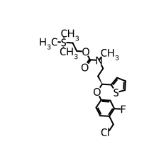 CN(CC[C@H](Oc1ccc(CCl)c(F)c1)c1cccs1)C(=O)OCCS(C)(C)C